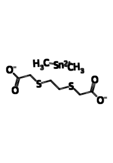 O=C([O-])CSCCSCC(=O)[O-].[CH3][Sn+2][CH3]